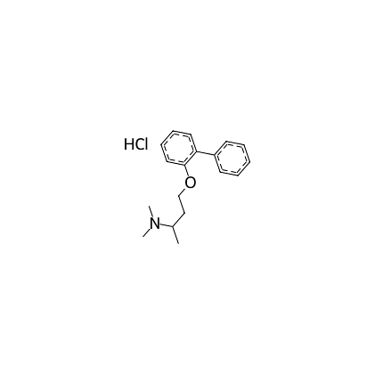 CC(CCOc1ccccc1-c1ccccc1)N(C)C.Cl